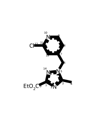 CCOC(=O)c1nc(C)n(Cc2ccnc(Cl)c2)n1